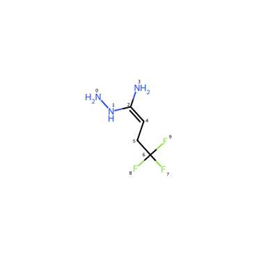 NN/C(N)=C\CC(F)(F)F